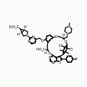 CCOC(=O)C1[C@H]2CN(c3nccc(COc4ccc5cc4C[C@H](C(=O)O)Oc4ncnc6sc(-c7ccc(F)cc7)c(c46)-c4c(C)c(Cl)c(c(Cl)c4C)O[C@H](CN4CCN(C)CC4)CO5)n3)C[C@@H]12